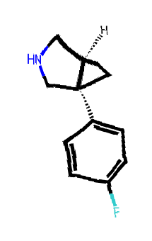 Fc1ccc([C@]23CNC[C@H]2C3)cc1